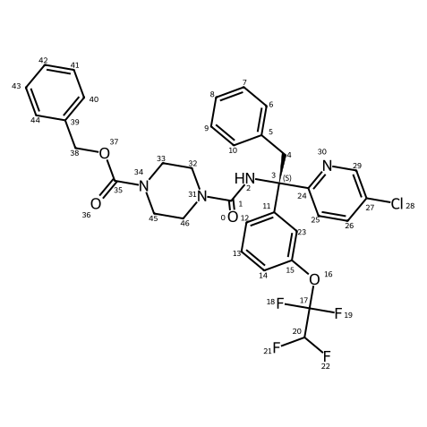 O=C(N[C@@](Cc1ccccc1)(c1cccc(OC(F)(F)C(F)F)c1)c1ccc(Cl)cn1)N1CCN(C(=O)OCc2ccccc2)CC1